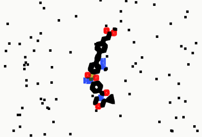 CNc1cc(S(=O)(=O)N[C@H]2CC[C@H](C(=O)N3CCOC[C@@H]3C3CC3)CC2)ccc1C#Cc1ccc(CCC(=O)OC)cc1